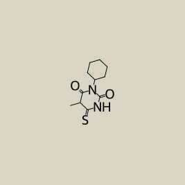 CC1C(=O)N(C2CCCCC2)C(=O)NC1=S